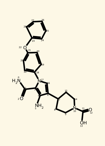 NC(=O)c1c(N)c(C2CCN(C(=O)O)CC2)cn1-c1ccc(Oc2ccccc2)cc1